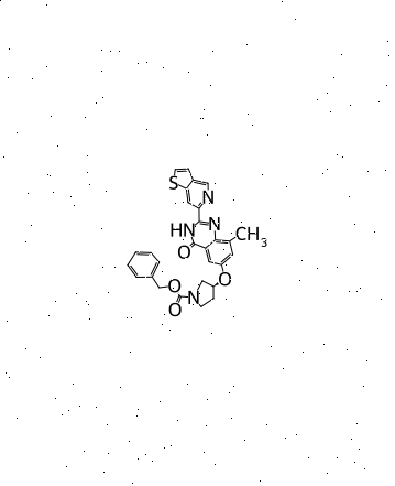 Cc1cc(O[C@H]2CCN(C(=O)OCc3ccccc3)C2)cc2c(=O)[nH]c(-c3cc4sccc4cn3)nc12